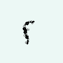 C=CC(=O)OCOc1ccc(OCOc2ccc3c(c2)C(CC)c2cc(OC(=O)c4ccc(OCOC(=O)C=C)cc4)ccc2-3)cc1